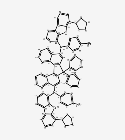 CC(C)c1ccc(N(c2cc3c(c4ccccc24)-c2c(cc(N(c4ccc(C(C)C)cc4)c4cccc5c4oc4c(C6CCCC6)cccc45)c4ccccc24)C3(c2ccccc2)c2ccccc2)c2cccc3c2oc2c(C4CCCC4)cccc23)cc1